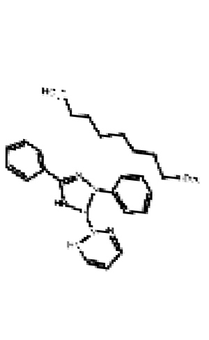 C1=CNN(N2NC(c3ccccc3)=NN2c2ccccc2)N=C1.CCCCCCCCCCCCCCCCCC(=O)O